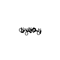 O=C(Nc1ccon1)c1cn2cc(-c3ncco3)ccc2n1